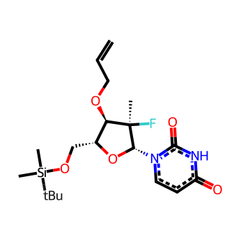 C=CCO[C@@H]1[C@@H](CO[Si](C)(C)C(C)(C)C)O[C@@H](n2ccc(=O)[nH]c2=O)[C@]1(C)F